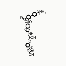 CCOc1ccc(-c2ccc(C(C)(C)N)cc2)cc1S(=O)(=O)N1CCC2(CC1)CC(NCC(O)COc1cccc(S(=O)(=O)C3(CO)CC3)c1)CO2